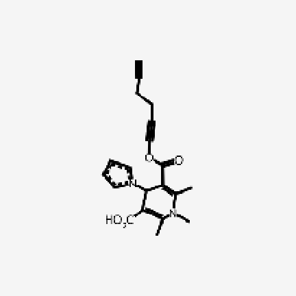 C#CCCC#COC(=O)C1=C(C)N(C)C(C)=C(C(=O)O)C1n1cccc1